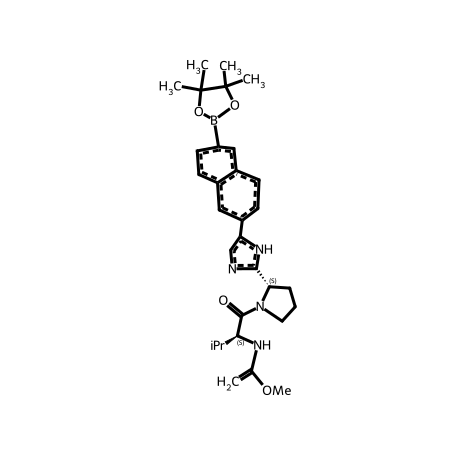 C=C(N[C@H](C(=O)N1CCC[C@H]1c1ncc(-c2ccc3cc(B4OC(C)(C)C(C)(C)O4)ccc3c2)[nH]1)C(C)C)OC